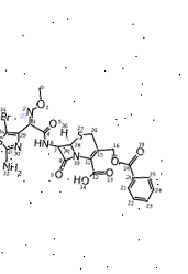 CO/N=C(\C(=O)NC1C(=O)N2C(C(=O)O)=C(COC(=O)c3ccccc3)CS[C@H]12)c1nc(N)sc1Br